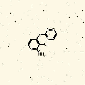 Nc1nccc(Sc2nccnn2)c1Cl